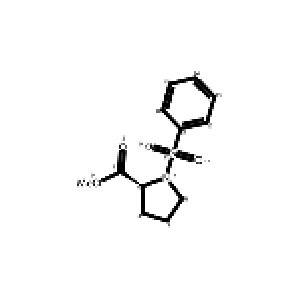 COC(=O)[C@@H]1CCCN1S(=O)(=O)c1ccccc1